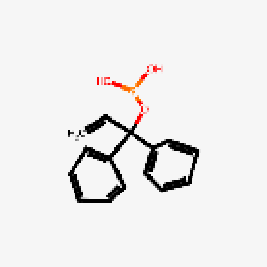 C=CC(OP(O)O)(c1ccccc1)c1ccccc1